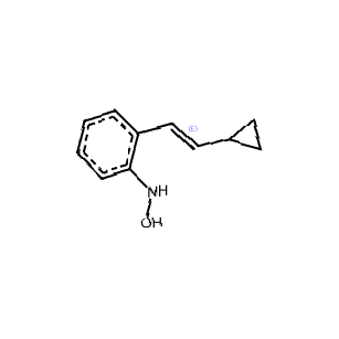 ONc1ccccc1/C=C/C1CC1